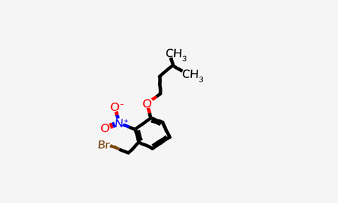 CC(C)CCOc1cccc(CBr)c1[N+](=O)[O-]